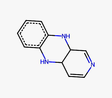 C1=CC2Nc3ccccc3NC2C=N1